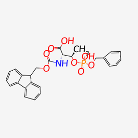 C[C@@H](OP(=O)(O)OCc1ccccc1)[C@H](NC(=O)OCC1c2ccccc2-c2ccccc21)C(=O)O